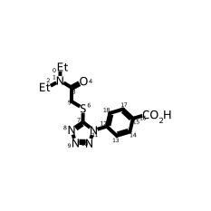 CCN(CC)C(=O)CSc1nnnn1-c1ccc(C(=O)O)cc1